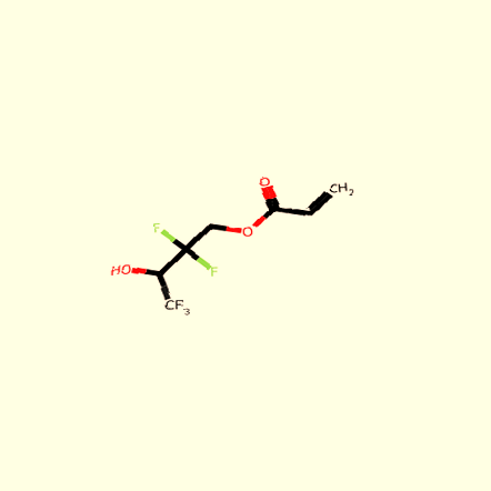 C=CC(=O)OCC(F)(F)C(O)C(F)(F)F